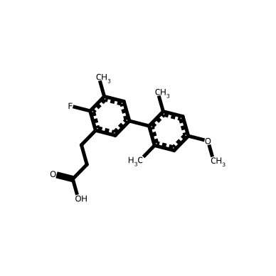 COc1cc(C)c(-c2cc(C)c(F)c(CCC(=O)O)c2)c(C)c1